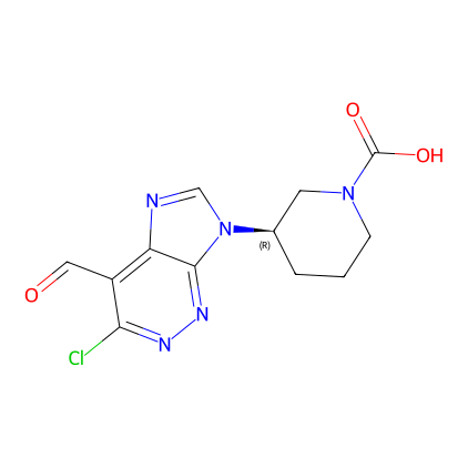 O=Cc1c(Cl)nnc2c1ncn2[C@@H]1CCCN(C(=O)O)C1